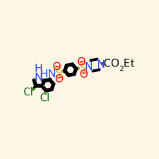 CCOC(=O)N1CCN(S(=O)(=O)c2ccc(S(=O)(=O)Nc3ccc(Cl)c4c(Cl)c[nH]c34)cc2)CC1